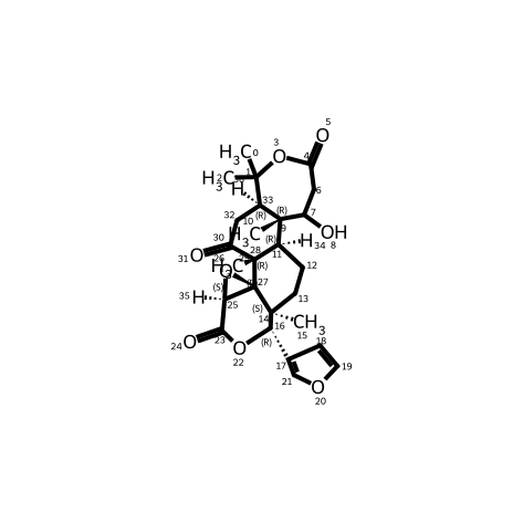 CC1(C)OC(=O)CC(O)[C@]2(C)[C@H]3CC[C@@]4(C)[C@H](c5ccoc5)OC(=O)[C@H]5O[C@]54[C@]3(C)C(=O)C[C@@H]12